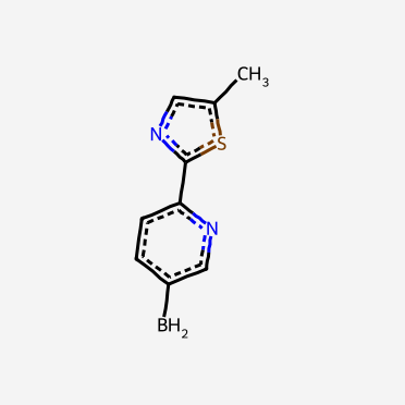 Bc1ccc(-c2ncc(C)s2)nc1